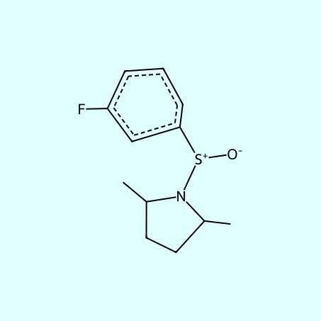 CC1CCC(C)N1[S+]([O-])c1cccc(F)c1